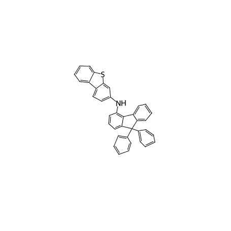 c1ccc(C2(c3ccccc3)c3ccccc3-c3c(Nc4ccc5c(c4)sc4ccccc45)cccc32)cc1